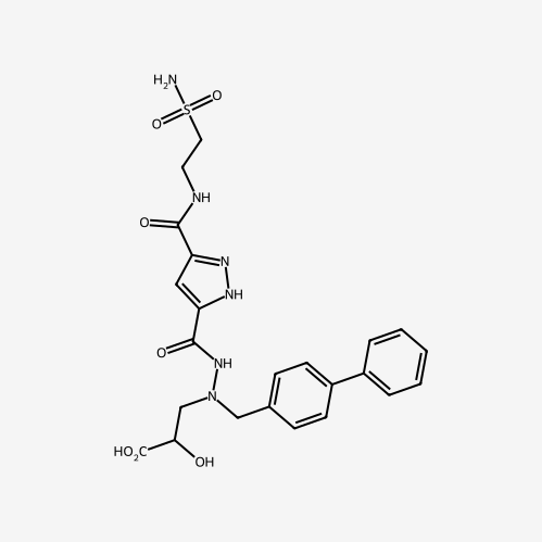 NS(=O)(=O)CCNC(=O)c1cc(C(=O)NN(Cc2ccc(-c3ccccc3)cc2)CC(O)C(=O)O)[nH]n1